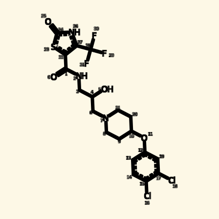 O=C(NCC(O)CN1CCC(Oc2ccc(Cl)c(Cl)c2)CC1)c1sc(=O)[nH]c1C(F)(F)F